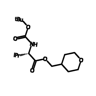 CC(C)[C@H](NC(=O)OC(C)(C)C)C(=O)OCC1CCOCC1